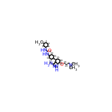 Cc1cccc(NC(=O)Nc2ccc(-c3ccc(OCCCN(C)C)c4[nH]nc(N)c34)cc2)c1